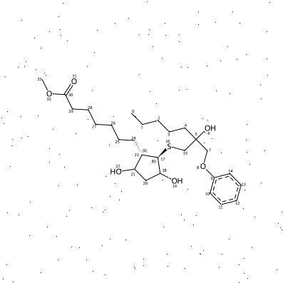 CCCCCC(O)(COc1ccccc1)CS[C@H]1C(O)CC(O)[C@@H]1CCCCCCC(=O)OC